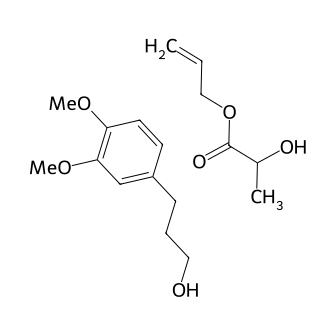 C=CCOC(=O)C(C)O.COc1ccc(CCCO)cc1OC